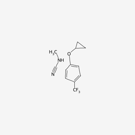 CNC#N.FC(F)(F)c1ccc(OC2CC2)cc1